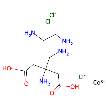 NCC(N)(CC(=O)O)CC(=O)O.NCCN.[Cl-].[Cl-].[Cl-].[Co+3]